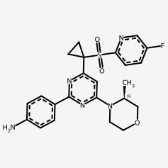 C[C@H]1COCCN1c1cc(C2(S(=O)(=O)c3ccc(F)cn3)CC2)nc(-c2ccc(N)cc2)n1